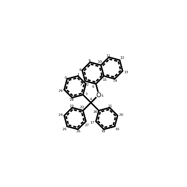 c1ccc(C(Oc2cccc3ccccc23)(c2ccccc2)c2ccccc2)cc1